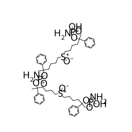 CC(CCCC[S+]([O-])CCCCC(C)(OP(N)(=O)OC(C)(CCCC[S+]([O-])CCCCC(C)(OP(N)(=O)O)c1ccccc1)c1ccccc1)c1ccccc1)(OP(N)(=O)O)c1ccccc1